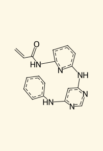 C=CC(=O)Nc1cccc(Nc2cc(Nc3ccccc3)ncn2)n1